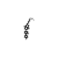 CCCCCCC1CC[C@@H]2C[C@H](c3ccc(-c4ccc(F)cc4)c(F)c3)CC[C@@H]2C1